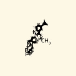 CCSc1c2cc(C3CC3)ccc2nn1-c1cc2cnn(CC(F)(F)C(F)(F)F)c2cn1